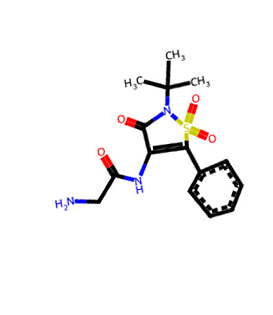 CC(C)(C)N1C(=O)C(NC(=O)CN)=C(c2ccccc2)S1(=O)=O